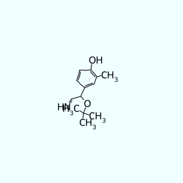 Cc1cc(C(C=N)OC(C)(C)C)ccc1O